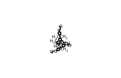 CCC(C)(Cc1cc(C(C)(C)c2ccc(OCC3CO3)cc2)cc(C(C)C)c1OC1COC1)c1cc(C(C)(C)c2ccc(OCC3CO3)cc2)ccc1OC1COC1